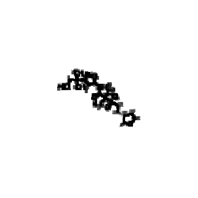 CC(C)(CO)c1cc(NC(=O)C(C)(C)S(=O)(=O)CC[C@@H]2CCOC2)on1